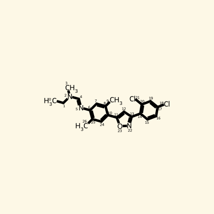 CCN(C)C=Nc1cc(C)c(-c2cc(-c3ccc(Cl)cc3Cl)no2)cc1C